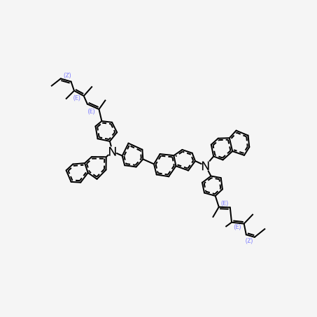 C\C=C/C(C)=C(C)/C=C(\C)c1ccc(N(c2ccc(-c3ccc4cc(N(c5ccc(/C(C)=C/C(C)=C(C)/C=C\C)cc5)c5ccc6ccccc6c5)ccc4c3)cc2)c2ccc3ccccc3c2)cc1